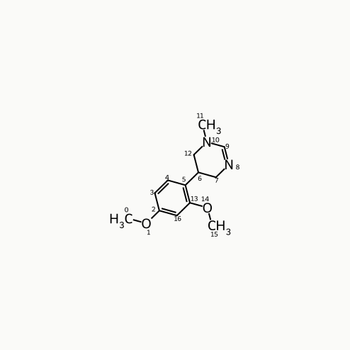 COc1ccc(C2CN=CN(C)C2)c(OC)c1